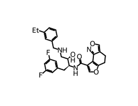 CCc1cccc(CNC[C@@H](O)[C@H](Cc2cc(F)cc(F)c2)NC(=O)c2coc3c2-c2nocc2CC3)c1